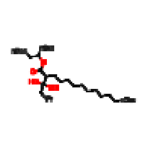 CCCCCCCCCCCCCCCCCCCCC(C(=O)OC(CCCCCCCC)CCCCCCCCCCC)C(O)(O)CC(C)C